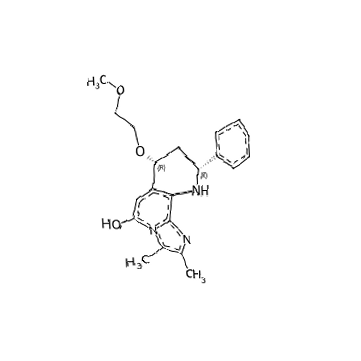 COCCO[C@@H]1C[C@H](c2ccccc2)Nc2c1cc(O)n1c(C)c(C)nc21